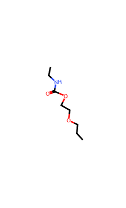 CCCOCCOC(=O)NCC